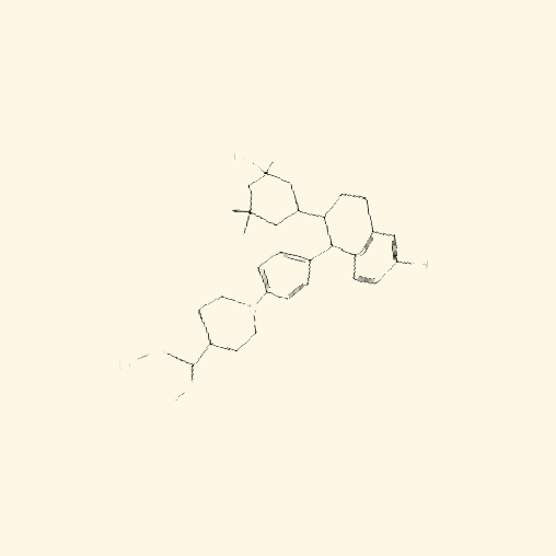 COC(OC)C1CCN(c2ccc(C3c4ccc(O)cc4CCC3C3CC(C)(C)CC(C)(C)C3)cc2)CC1